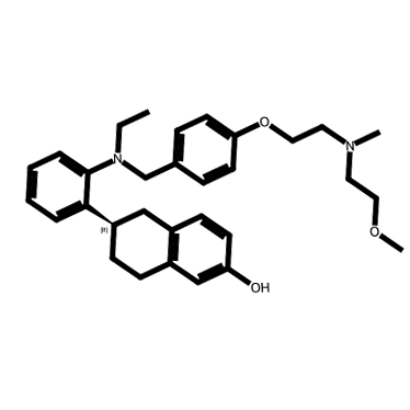 CCN(Cc1ccc(OCCN(C)CCOC)cc1)c1ccccc1[C@@H]1CCc2cc(O)ccc2C1